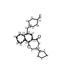 O=C1CN(C2CCCC2)COc2c1cc(CN1CCC(F)CC1)c1ccccc21